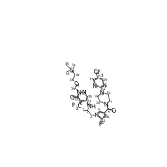 CC(Cn1cc(C(=O)N2CCN(c3ncc(C(F)(F)F)cn3)CC2)cc1F)Nc1cnn(COCC[Si](C)(C)C)c(=O)c1C(F)(F)F